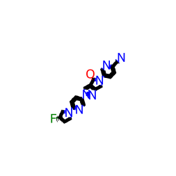 N#Cc1ccc(N2Cc3nn(-c4ccc(N5CC[C@@H](F)C5)nc4)cc3C2=O)cn1